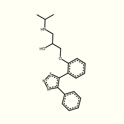 CC(C)NCC(O)COc1ccccc1-c1snnc1-c1ccccc1